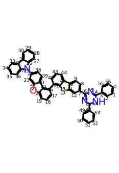 c1ccc(C2=NC(c3ccc4c(c3)sc3c(-c5cccc6oc7cc(-n8c9ccccc9c9ccccc98)ccc7c56)cccc34)=NC(c3ccccc3)N2)cc1